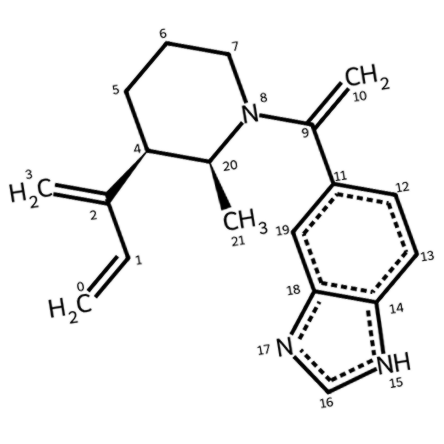 C=CC(=C)[C@H]1CCCN(C(=C)c2ccc3[nH]cnc3c2)[C@H]1C